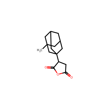 CC12CC3CC(C1)CC(C1CC(=O)OC1=O)(C3)C2